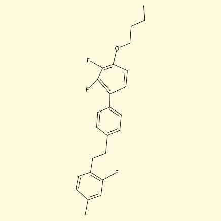 CCCCOc1ccc(-c2ccc(CCc3ccc(C)cc3F)cc2)c(F)c1F